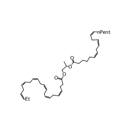 CC/C=C\C/C=C\C/C=C\C/C=C\C/C=C\C/C=C\CCC(=O)OCC(C)OC(=O)CCCC/C=C\C/C=C\C/C=C\CCCCC